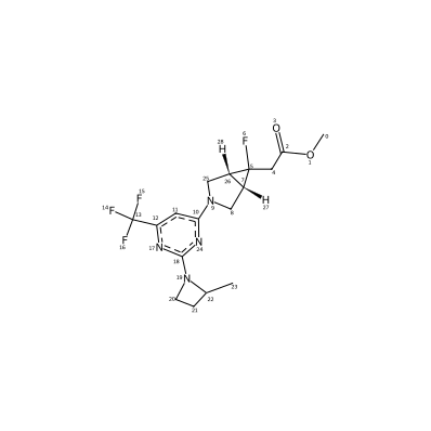 COC(=O)CC1(F)[C@@H]2CN(c3cc(C(F)(F)F)nc(N4CCC4C)n3)C[C@@H]21